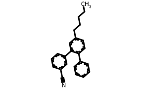 CCCCCc1ccc(-c2ccccc2)c(-c2cccc(C#N)c2)c1